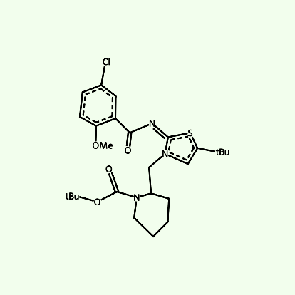 COc1ccc(Cl)cc1C(=O)N=c1sc(C(C)(C)C)cn1CC1CCCCN1C(=O)OC(C)(C)C